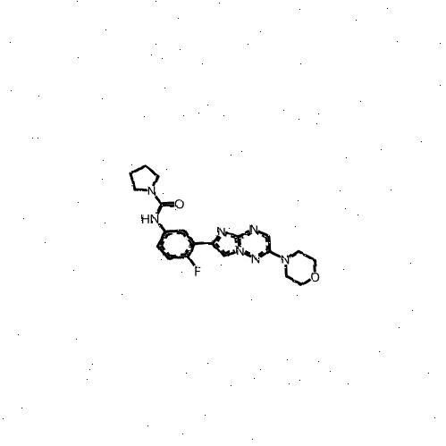 O=C(Nc1ccc(F)c(-c2cn3nc(N4CCOCC4)cnc3n2)c1)N1CCCC1